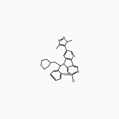 COc1ccccc1C(CC1CCOCC1)n1c2cc(Cl)ncc2c2ncc(-c3c(C)nnn3C)cc21